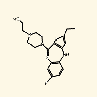 CCc1cc2c(s1)C(N1CCN(CCO)CC1)=Nc1cc(F)ccc1N2